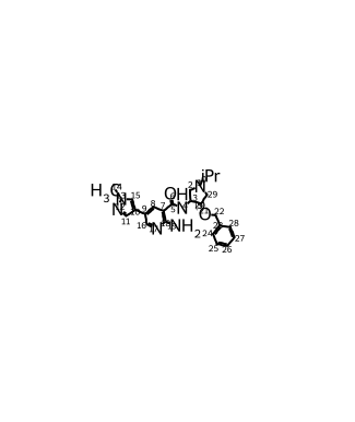 CC(C)N1CC(NC(=O)c2cc(-c3cnn(C)c3)cnc2N)[C@@H](OCc2ccccc2)C1